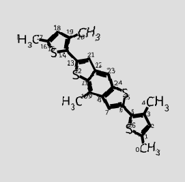 Cc1cc(C)c(-c2cc3c(C)c4sc(-c5sc(C)cc5C)cc4cc3s2)s1